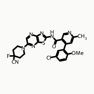 COc1ccc(Cl)cc1-c1cc(C)ncc1C(=O)Nc1nc2ncc(N3CCC(F)(C#N)CC3)nc2s1